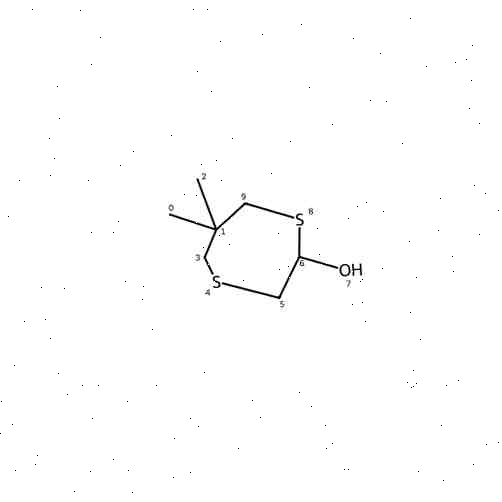 CC1(C)CSCC(O)SC1